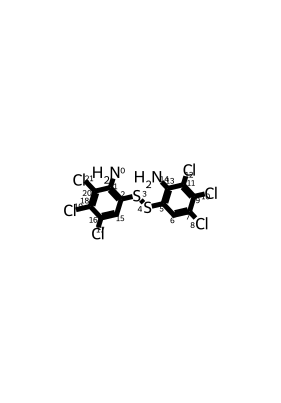 Nc1c(SSc2cc(Cl)c(Cl)c(Cl)c2N)cc(Cl)c(Cl)c1Cl